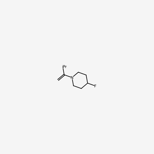 C=C(C(C)C)N1CCC(F)CC1